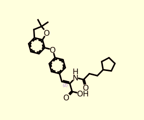 CC1(C)Cc2cccc(Oc3ccc(/C=C(\NC(=O)CCC4CCCC4)C(=O)O)cc3)c2O1